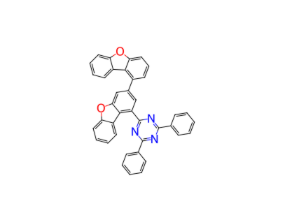 c1ccc(-c2nc(-c3ccccc3)nc(-c3cc(-c4cccc5oc6ccccc6c45)cc4oc5ccccc5c34)n2)cc1